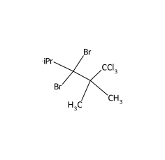 C[C](C)C(Br)(Br)C(C)(C)C(Cl)(Cl)Cl